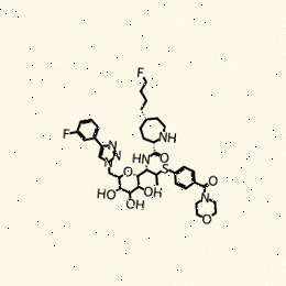 CC(Sc1ccc(C(=O)N2CCOCC2)cc1)[C@@H](NC(=O)[C@@H]1CC[C@H](CCCCF)CCN1)[C@H]1OC(Cn2cc(-c3cccc(F)c3)nn2)[C@H](O)C(O)C1O